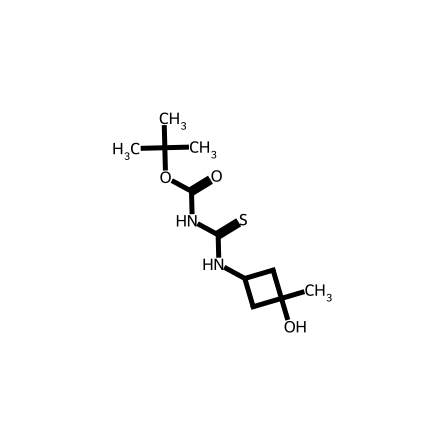 CC1(O)CC(NC(=S)NC(=O)OC(C)(C)C)C1